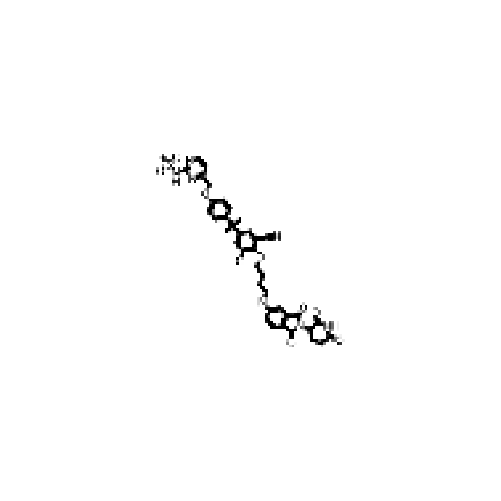 CC(C)(c1ccc(OCc2ccnc(NS(C)(=O)=O)n2)cc1)c1cc(Cl)c(OCCCCNc2ccc3c(c2)C(=O)N(C2CCC(=O)NC2=O)C3=O)c(C#N)c1